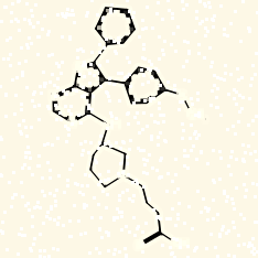 COc1ccc(-c2c(-c3ccccc3)oc3ncnc(NC4CCCN(CCCC(=O)O)C4)c23)cc1